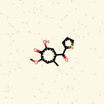 COc1cc(C)c(C(=O)c2cccs2)cc(O)c1=O